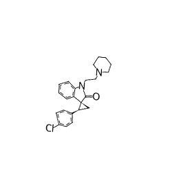 O=C1N(CCN2CCCCC2)c2ccccc2[C@]12C[C@H]2c1ccc(Cl)cc1